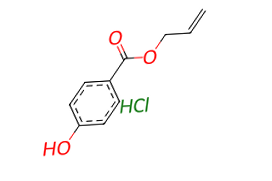 C=CCOC(=O)c1ccc(O)cc1.Cl